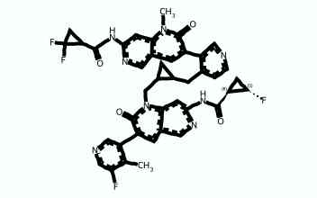 Cc1c(F)cncc1-c1cc2cnc(NC(=O)[C@H]3C[C@@H]3F)cc2n(CC2CC2Cc2ccncc2-c2cc3cnc(NC(=O)C4CC4(F)F)cc3n(C)c2=O)c1=O